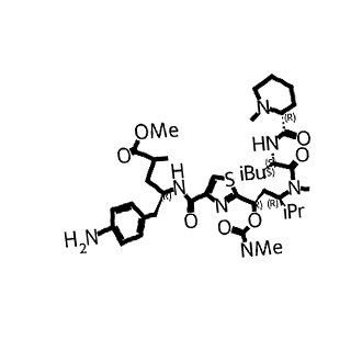 CC[C@H](C)[C@H](NC(=O)[C@H]1CCCCN1C)C(=O)N(C)[C@H](C[C@@H](OC(=O)NC)c1nc(C(=O)N[C@@H](Cc2ccc(N)cc2)CC(C)C(=O)OC)cs1)C(C)C